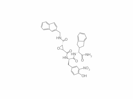 NC(=O)[C@H](NC(=O)[C@@H](Cc1ccc(O)c([N+](=O)[O-])c1)NC(=O)C1O[C@@H]1C(=O)NCc1ccc2ccccc2c1)C1Cc2ccccc2C1